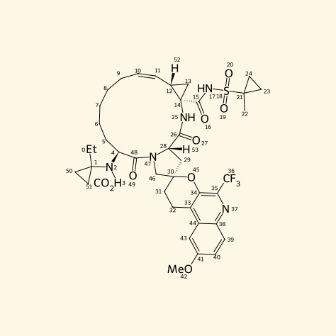 CCC1(N(C(=O)O)[C@H]2CCCCC/C=C\[C@@H]3C[C@@]3(C(=O)NS(=O)(=O)C3(C)CC3)NC(=O)[C@@H]3C[C@]4(CCc5c(c(C(F)(F)F)nc6ccc(OC)cc56)O4)CN3C2=O)CC1